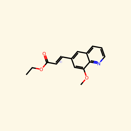 CCOC(=O)/C=C/c1cc(OC)c2ncccc2c1